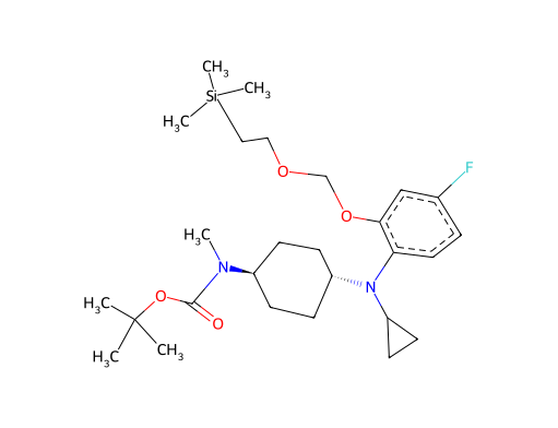 CN(C(=O)OC(C)(C)C)[C@H]1CC[C@H](N(c2ccc(F)cc2OCOCC[Si](C)(C)C)C2CC2)CC1